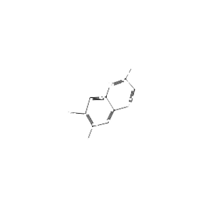 Cc1cnc2cc(C)c([N+](=O)[O-])cc2n1